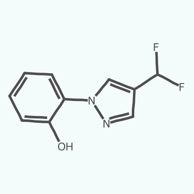 Oc1ccccc1-n1cc(C(F)F)cn1